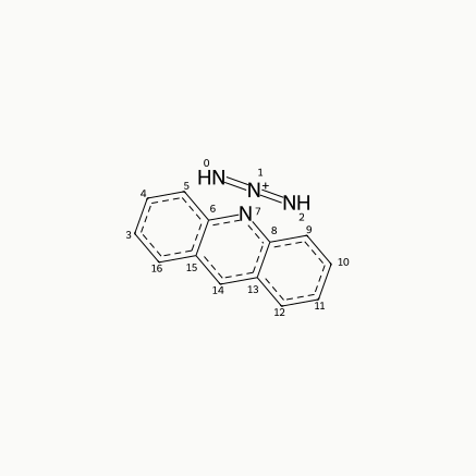 N=[N+]=N.c1ccc2nc3ccccc3cc2c1